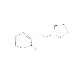 S=C1CC=CC=C1OCN1CCCC1